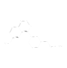 CSNCC1CCCN(c2ncnc3ccc(SC)cc23)C1